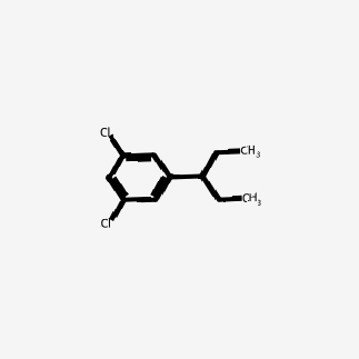 CCC(CC)c1cc(Cl)cc(Cl)c1